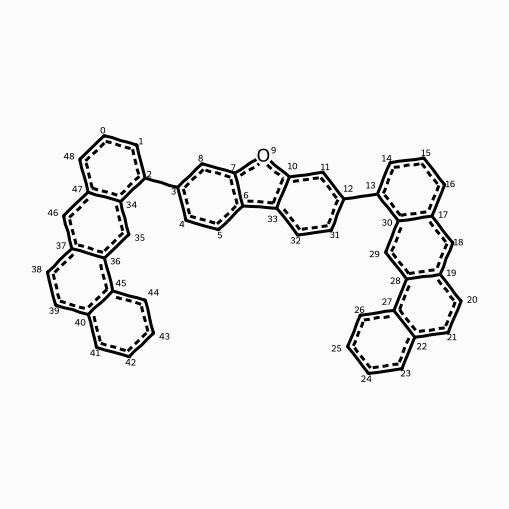 c1cc(-c2ccc3c(c2)oc2cc(-c4cccc5cc6ccc7ccccc7c6cc45)ccc23)c2cc3c(ccc4ccccc43)cc2c1